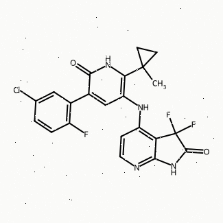 CC1(c2[nH]c(=O)c(-c3cc(Cl)ccc3F)cc2Nc2ccnc3c2C(F)(F)C(=O)N3)CC1